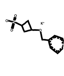 O=S(=O)([O-])C1CC(OCc2ccccc2)C1.[K+]